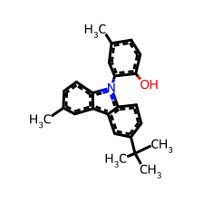 Cc1ccc(O)c(-n2c3ccc(C)cc3c3cc(C(C)(C)C)ccc32)c1